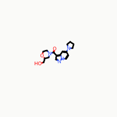 O=C(c1cnn2ccc(N3CCCC3)cc12)N1CCOC(CO)C1